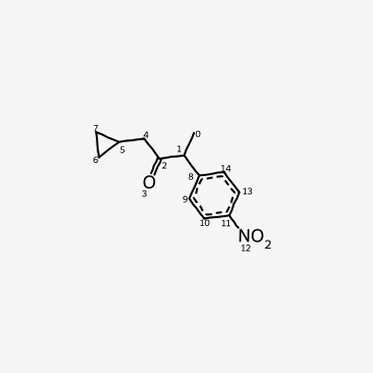 CC(C(=O)CC1CC1)c1ccc([N+](=O)[O-])cc1